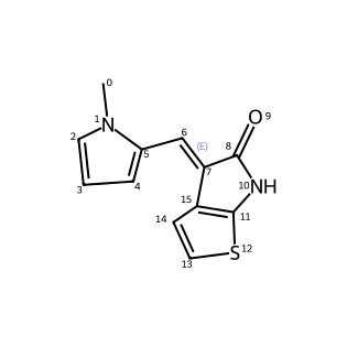 Cn1cccc1/C=C1/C(=O)Nc2sccc21